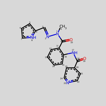 CN(N=Cc1ccc[nH]1)C(=O)c1ccccc1NC(=O)c1ccncc1